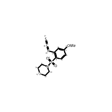 COc1ccc(S(=O)(=O)N2CCOCC2)c(N=C=S)c1